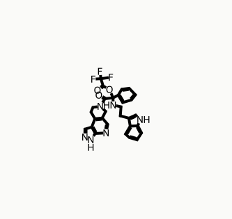 O=C(OC(NCCc1c[nH]c2ccccc12)(C(=O)N1CCc2c(cnc3[nH]ncc23)C1)c1ccccc1)C(F)(F)F